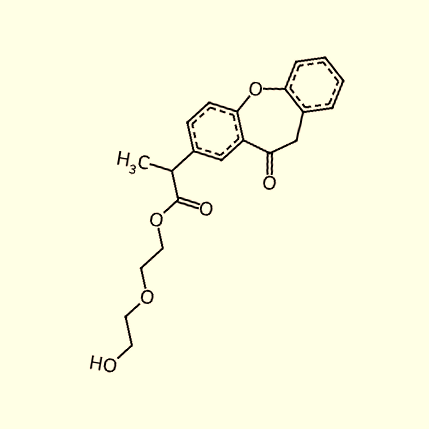 CC(C(=O)OCCOCCO)c1ccc2c(c1)C(=O)Cc1ccccc1O2